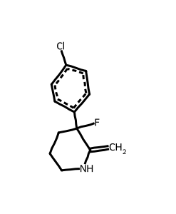 C=C1NCCCC1(F)c1ccc(Cl)cc1